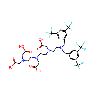 O=C(O)CN(CCN(CCN(Cc1cc(C(F)(F)F)cc(C(F)(F)F)c1)Cc1cc(C(F)(F)F)cc(C(F)(F)F)c1)CC(=O)O)CCN(CC(=O)O)CC(=O)O